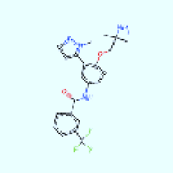 Cn1nccc1-c1cc(NC(=O)c2cccc(C(F)(F)F)c2)ccc1OCC(C)(C)N